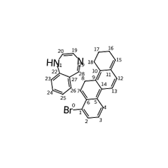 Brc1cccc2c1=CCc1c3c(ccc1=2)=CCCC3.C1=CNc2ccccc2C=N1